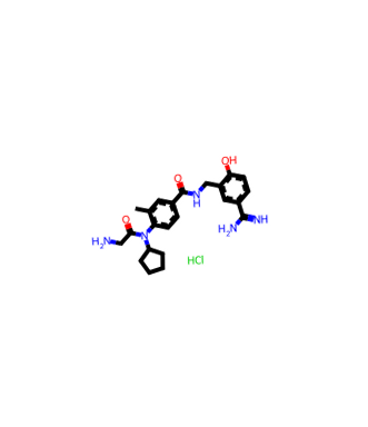 Cc1cc(C(=O)NCc2cc(C(=N)N)ccc2O)ccc1N(C(=O)CN)C1CCCC1.Cl